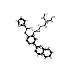 [CH2]C(Cc1ccc(-c2ccc3ccccc3n2)cc1COCCN(CC)CC)c1ccco1